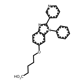 O=C(O)CCCCOc1ccc2nc(-c3cccnc3)n(-c3ccccc3)c2c1